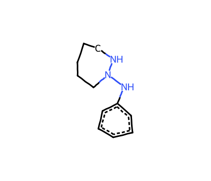 c1ccc(NN2CCCCCN2)cc1